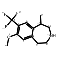 COc1cc2c(cc1C(F)(F)F)C(C)CNCC2